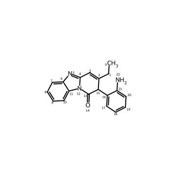 CCC1=Cc2nc3ccccc3n2C(=O)C1c1ccccc1N